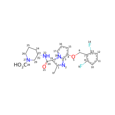 Cc1nc2c(OCc3c(F)cccc3F)cccn2c1C(=O)N[C@H]1CCCN(C(=O)O)C1